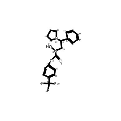 O=C(Cc1ccc(C(F)(F)F)cc1)N(O)CC(c1ccccc1)N1CCCC1